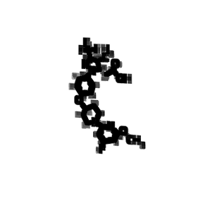 COc1cc(F)cc(N2CCC(Oc3ccc(N4N=C(C(F)(F)F)[C@@H](C)[C@@H]4CC(=O)O)cc3)CC2)n1